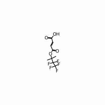 CC(C)(OC(=O)/C=C/C(=O)O)C(F)(F)C(F)(F)F